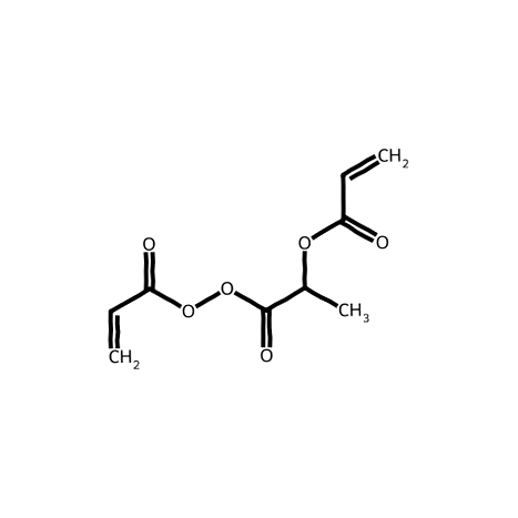 C=CC(=O)OOC(=O)C(C)OC(=O)C=C